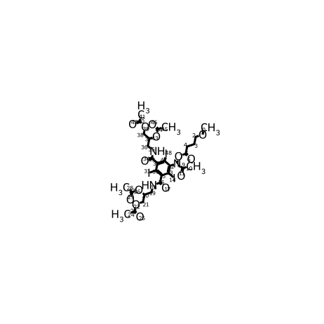 COCCCC(=O)ON(C(C)=O)c1c(I)c(C(=O)NCC(COC(C)=O)OC(C)=O)c(I)c(C(=O)NCC(COC(C)=O)OC(C)=O)c1I